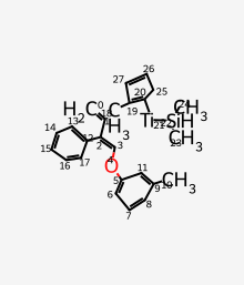 C=CC(=COc1cccc(C)c1)c1ccccc1.CC1=[C]([Ti][SiH](C)C)CC=C1